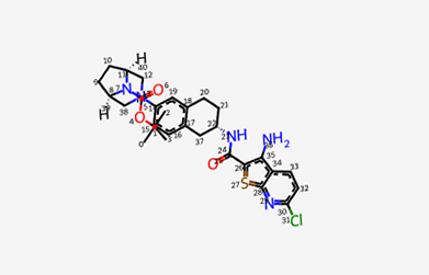 CC(C)(C)OC(=O)N1[C@@H]2CC[C@H]1CN(c1ccc3c(c1)CC[C@H](NC(=O)c1sc4nc(Cl)ccc4c1N)C3)C2